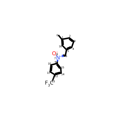 Cc1cccc(C=[N+]([O-])c2ccc(C(F)(F)F)cc2)c1